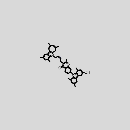 CC1=Cc2c(n(C/C=C\Cc3c(C)sc4cc(-n5c6c(C)cc(C)cc6c6cc(O)cc(C)c65)ccc4c3=O)c3c(C)cc(C)cc23)CC(C)=C1